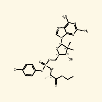 CCOC(=O)[C@H](C)NP(=O)(OC[C@H]1O[C@@H](n2cnc3c(N)nc(N)nc32)[C@](C)(F)[C@@H]1O)Oc1ccc(Cl)cc1